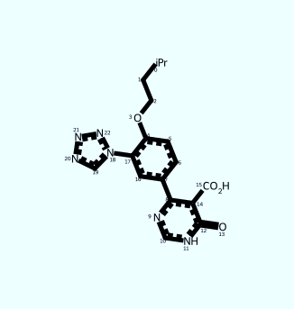 CC(C)CCOc1ccc(-c2nc[nH]c(=O)c2C(=O)O)cc1-n1cnnn1